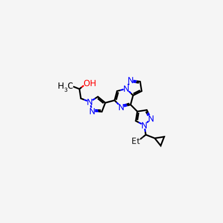 CCC(C1CC1)n1cc(-c2nc(-c3cnn(CC(C)O)c3)cn3nccc23)cn1